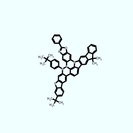 CC(C)(C)c1ccc(N2B3c4cc5nc(-c6ccccc6)oc5cc4-n4c5cc6c(cc5c5ccc(c3c54)-c3cc4c(cc32)sc2cc(C(C)(C)C)ccc24)C(C)(C)c2ccccc2-6)cc1